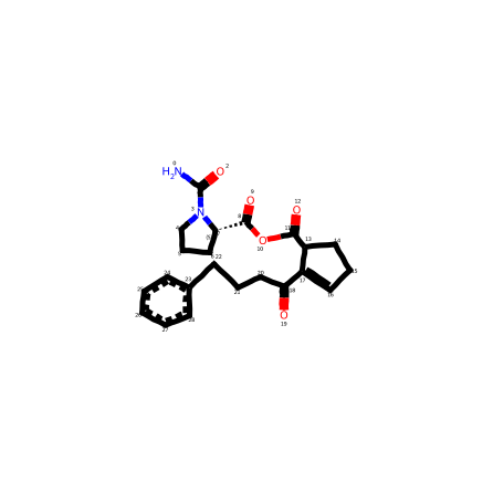 NC(=O)N1CCC[C@H]1C(=O)OC(=O)C1CCC=C1C(=O)CCCc1ccccc1